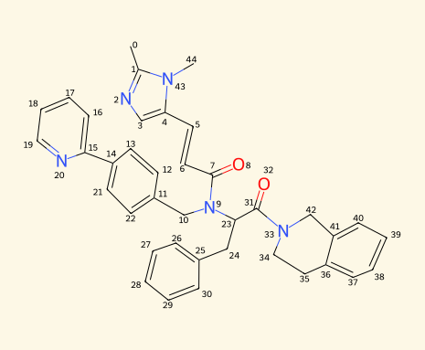 Cc1ncc(C=CC(=O)N(Cc2ccc(-c3ccccn3)cc2)C(Cc2ccccc2)C(=O)N2CCc3ccccc3C2)n1C